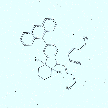 C=C(/C=C\C=C/C)/C(=C\C=C/C)N1c2ccc(-c3c4ccccc4cc4ccccc34)cc2C2(C)CCCCC12C